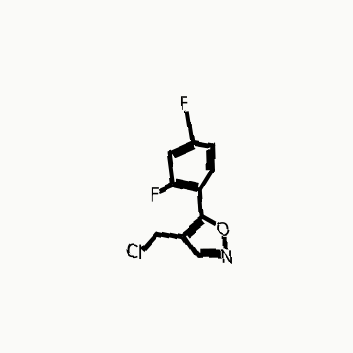 Fc1ccc(-c2oncc2CCl)c(F)c1